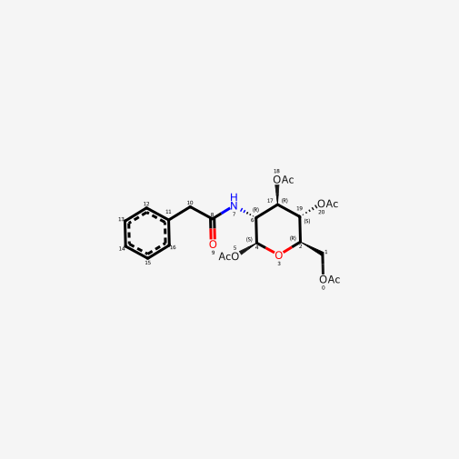 CC(=O)OC[C@H]1O[C@@H](OC(C)=O)[C@H](NC(=O)Cc2ccccc2)[C@@H](OC(C)=O)[C@@H]1OC(C)=O